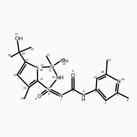 Cc1cc(NC(=O)N=S(=O)(N[Si](C)(C)C(C)(C)C)c2sc(C(C)(C)O)cc2C)cc(C)n1